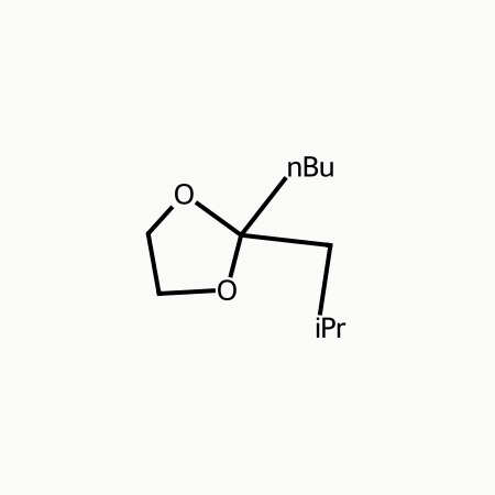 CCCCC1(CC(C)C)OCCO1